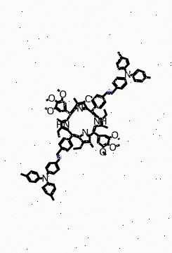 CCC1=C(C)c2nc1c(-c1ccc(/C=C/c3ccc(N(c4ccc(C)cc4)c4ccc(C)cc4)cc3)cc1)c1[nH]c(c(C)c1CC)c(-c1cc(OC)c(OC)c(OC)c1)c1nc(c(-c3ccc(/C=C/c4ccc(N(c5ccc(C)cc5)c5ccc(C)cc5)cc4)cc3)c3[nH]c(c(C)c3CC)c2-c2cc(OC)c(OC)c(OC)c2)C(CC)=C1C